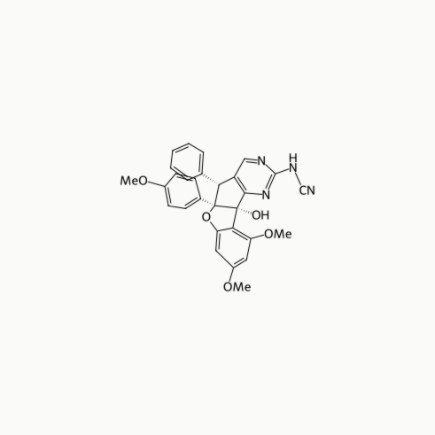 COc1ccc([C@@]23Oc4cc(OC)cc(OC)c4[C@]2(O)c2nc(NC#N)ncc2[C@H]3c2ccccc2)cc1